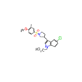 Cc1cc(S(=O)(=O)N2CCC(c3cn(CC(=O)O)c4ccc(Cl)cc34)C2)ccc1OC(C)C